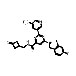 O=C1CC(CNC(=O)c2cc(NCc3ccc(F)cc3F)nc(-c3cncc(C(F)(F)F)c3)n2)C1